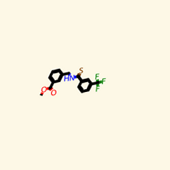 COC(=O)c1cccc(CNC(=S)c2cccc(C(F)(F)F)c2)c1